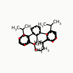 CC(C)c1cccc(C(C)C)c1-c1cccc(-c2c(C(C)C)cccc2C(C)C)c1P1C(c2ccccc2)CCCC1c1ccccc1